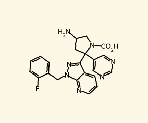 NC1CN(C(=O)O)C(c2cncnc2)(c2nn(Cc3ccccc3F)c3ncccc23)C1